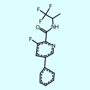 CC(NC(=O)c1ncc(-c2ccccc2)cc1F)C(F)(F)F